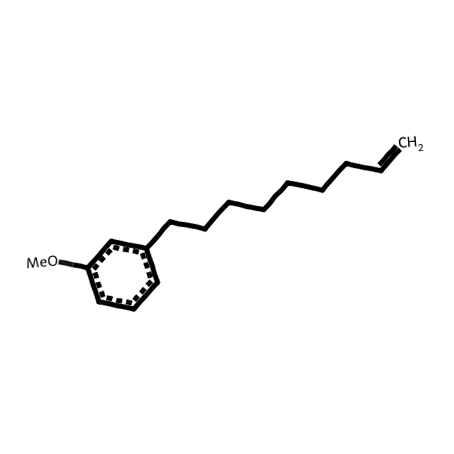 C=CCCCCCCCc1cccc(OC)c1